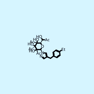 CCc1ccc(Cc2cnn([C@@H]3O[C@H](C(O)C(C)=O)[C@](O)(C(C)=O)[C@@](O)(C(C)=O)[C@]3(O)C(C)=O)c2)cc1